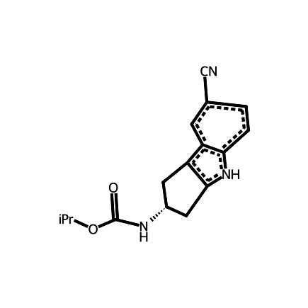 CC(C)OC(=O)N[C@H]1Cc2[nH]c3ccc(C#N)cc3c2C1